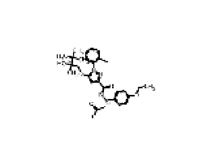 CCOc1ccc([C@H](CC(=O)O)NC(=O)c2cc(OC[C@](C)(O)C(C)(C)C)n(-c3ccccc3F)n2)cc1